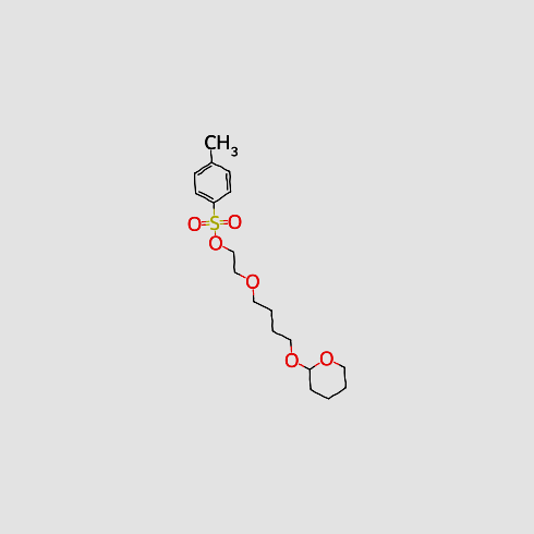 Cc1ccc(S(=O)(=O)OCCOCCCCOC2CCCCO2)cc1